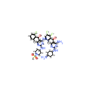 COc1ccc(F)c(F)c1C(=O)c1cnc(NC2CCC(N)CC2)nc1N.COc1cccc(F)c1C(=O)c1cnc(NC2CCN(S(C)(=O)=O)CC2)nc1N